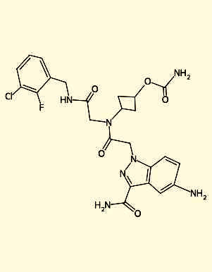 NC(=O)OC1CC(N(CC(=O)NCc2cccc(Cl)c2F)C(=O)Cn2nc(C(N)=O)c3cc(N)ccc32)C1